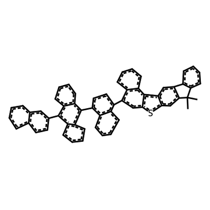 CC1(C)c2ccccc2-c2cc3c(cc21)sc1cc(-c2ccc(-c4c5ccccc5c(-c5ccc6ccccc6c5)c5ccccc45)c4ccccc24)c2ccccc2c13